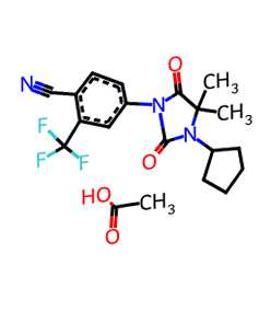 CC(=O)O.CC1(C)C(=O)N(c2ccc(C#N)c(C(F)(F)F)c2)C(=O)N1C1CCCC1